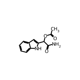 CC(=O)OC(C(N)=O)c1cc2ccccc2[nH]1